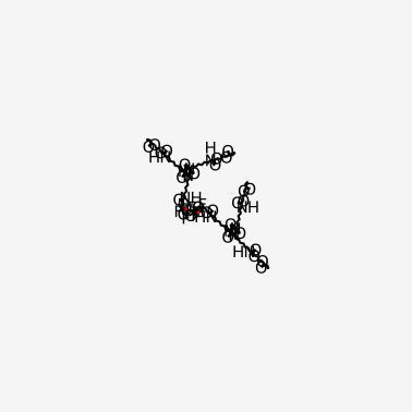 C=CC(=O)OCCOC(=O)NCCCCCCn1c(=O)n(CCCCCCNC(=O)OCCOC(=O)C=C)c(=O)n(CCCCCCNC(=O)OCC(F)(F)OC(F)(F)OC(F)(F)C(F)(F)OC(F)(F)COC(=O)NCCCCCCn2c(=O)n(CCCCCCNC(=O)OCCOC(=O)C=C)c(=O)n(CCCCCCNC(=O)OCCOC(=O)C=C)c2=O)c1=O